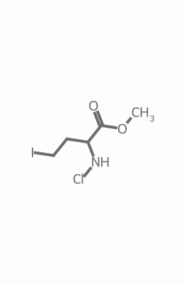 COC(=O)C(CCI)NCl